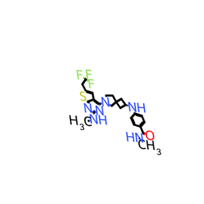 CNC(=O)c1ccc(NC2CC3(CCN(c4nc(NC)nc5sc(CC(F)(F)F)cc45)C3)C2)cc1